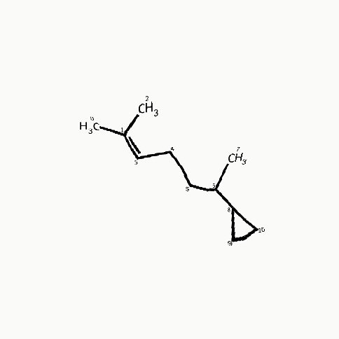 CC(C)=CCCC(C)C1CC1